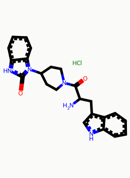 Cl.NC(Cc1c[nH]c2ccccc12)C(=O)N1CCC(n2c(=O)[nH]c3ccccc32)CC1